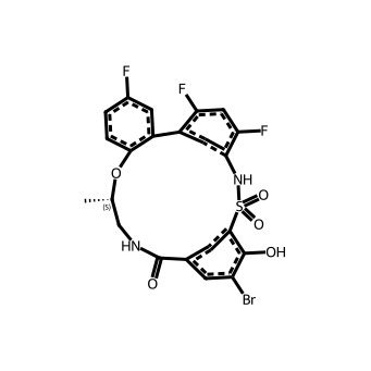 C[C@H]1CNC(=O)c2cc(Br)c(O)c(c2)S(=O)(=O)Nc2cc(c(F)cc2F)-c2cc(F)ccc2O1